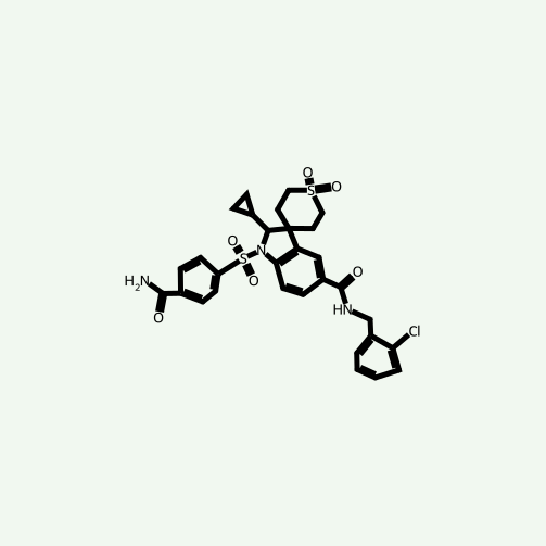 NC(=O)c1ccc(S(=O)(=O)N2c3ccc(C(=O)NCc4ccccc4Cl)cc3C3(CCS(=O)(=O)CC3)C2C2CC2)cc1